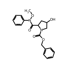 CON(C(=O)C1CC(O)CN1C(=O)OCc1ccccc1)c1ccccc1